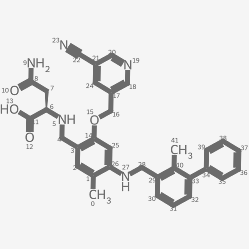 Cc1cc(CN[C@H](CC(N)=O)C(=O)O)c(OCc2cncc(C#N)c2)cc1NCc1cccc(-c2ccccc2)c1C